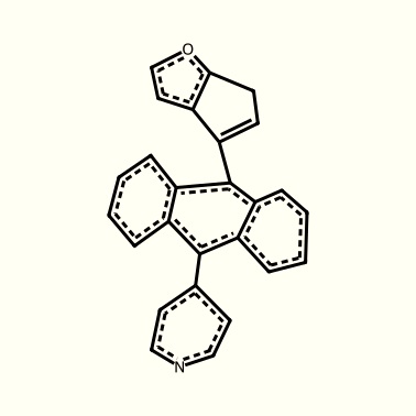 C1=C(c2c3ccccc3c(-c3ccncc3)c3ccccc23)c2ccoc2C1